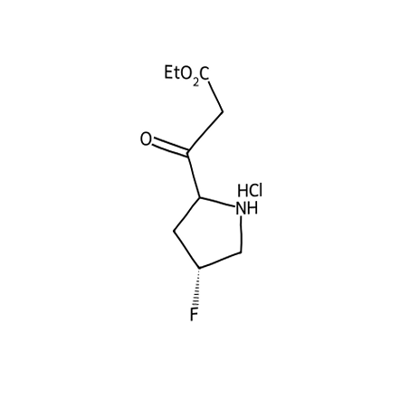 CCOC(=O)CC(=O)C1C[C@@H](F)CN1.Cl